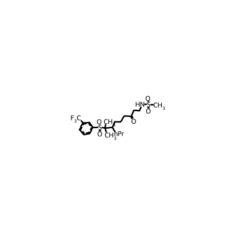 CCCC(CCCC(=O)CCNS(C)(=O)=O)C(C)(C)S(=O)(=O)c1cccc(C(F)(F)F)c1